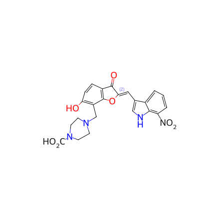 O=C1/C(=C/c2c[nH]c3c([N+](=O)[O-])cccc23)Oc2c1ccc(O)c2CN1CCN(C(=O)O)CC1